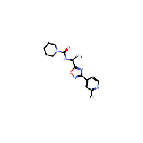 Cc1cc(-c2noc([C@H](C)NC(=O)N3CCCCC3)n2)ccn1